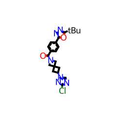 CC(C)(C)c1nnc(-c2ccc(C(=O)N3CC4(CC(n5cnc(Cl)n5)C4)C3)cc2)o1